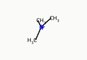 CCCCCCCCCCCCCCC[n+]1ccn(CCCCCCCCCCCCCC)c1CCCCCCCC